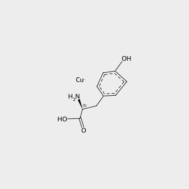 N[C@@H](Cc1ccc(O)cc1)C(=O)O.[Cu]